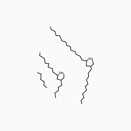 CCCCCCCCC[CH]CC(CC)CC(O)CCCCCCCCCCCCCC.CCC[CH]CC(CC)CC(O)CCCCCCCC.C[CH]CCCC